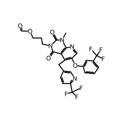 Cn1c(=O)n(CCCOC=O)c(=O)c2c(Cc3ccc(C(F)(F)F)nc3)c(Oc3cccc(C(F)(F)F)c3)cnc21